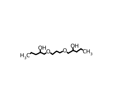 CCCC(O)COCCCOCC(O)CCC